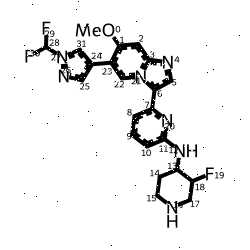 COc1cc2ncc(-c3cccc(NC4CCNCC4F)n3)n2cc1-c1cnn(C(F)F)c1